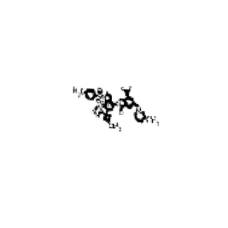 Cc1ccc(S(=O)(=O)n2ccc3c(N4Cc5c(cc(CN6CCC[C@H](C)C6)cc5C(F)F)C4=O)cc(C4(c5nncn5C)CC(C)C4)cc32)cc1